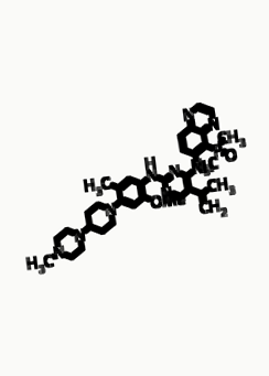 C=C(C)c1cnc(Nc2cc(C)c(N3CCC(N4CCN(C)CC4)CC3)cc2OC)nc1Nc1ccc2nccnc2c1P(C)(C)=O